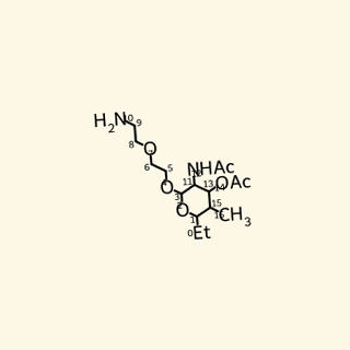 CCC1OC(OCCOCCN)C(NC(C)=O)C(OC(C)=O)C1C